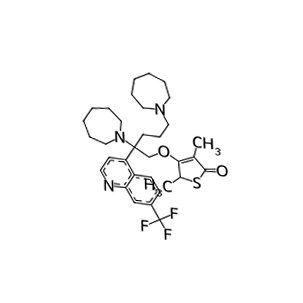 CC1=C(OCC(CCCN2CCCCCC2)(c2ccnc3cc(C(F)(F)F)ccc23)N2CCCCCC2)C(C)SC1=O